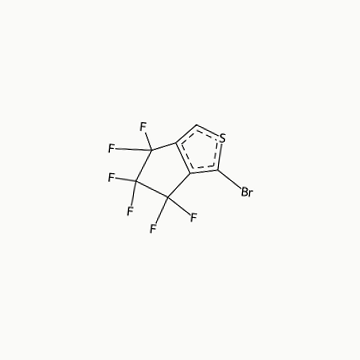 FC1(F)c2csc(Br)c2C(F)(F)C1(F)F